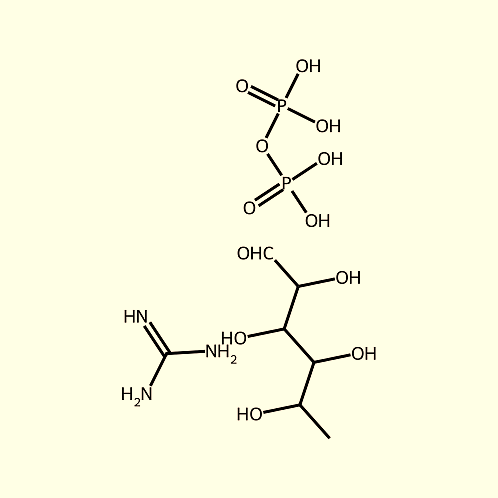 CC(O)C(O)C(O)C(O)C=O.N=C(N)N.O=P(O)(O)OP(=O)(O)O